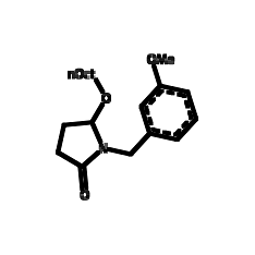 CCCCCCCCOC1CCC(=O)N1Cc1cccc(OC)c1